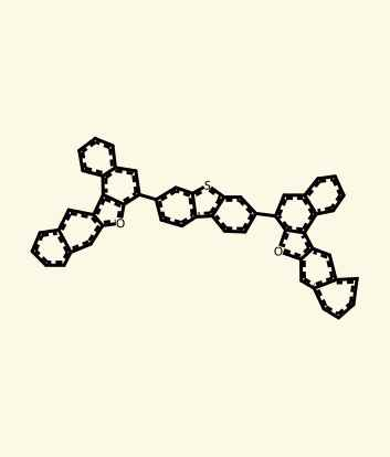 c1ccc2cc3c(cc2c1)oc1c(-c2ccc4c(c2)sc2cc(-c5cc6ccccc6c6c5oc5cc7ccccc7cc56)ccc24)cc2ccccc2c13